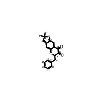 CC1(C)C=c2cc3c(cc2=N1)C(=O)C(=O)C(Cc1ccccc1)O3